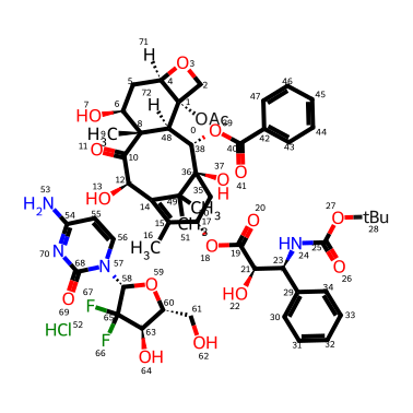 CC(=O)O[C@@]12CO[C@@H]1C[C@H](O)[C@@]1(C)C(=O)[C@H](O)C3=C(C)[C@@H](OC(=O)[C@H](O)[C@@H](NC(=O)OC(C)(C)C)c4ccccc4)C[C@@](O)([C@@H](OC(=O)c4ccccc4)[C@H]21)C3(C)C.Cl.Nc1ccn([C@@H]2O[C@H](CO)[C@@H](O)C2(F)F)c(=O)n1